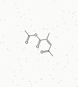 CC(=O)C=C(C)C(=O)OC(C)=O